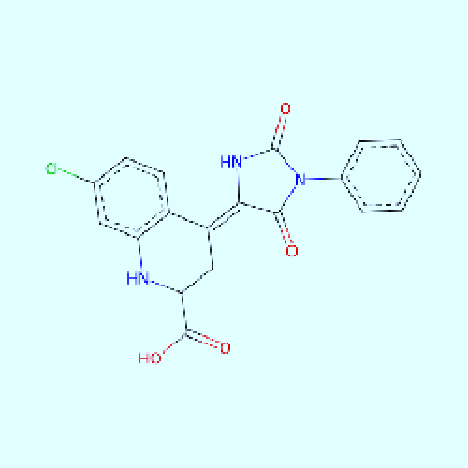 O=C(O)C1CC(=C2NC(=O)N(c3ccccc3)C2=O)c2ccc(Cl)cc2N1